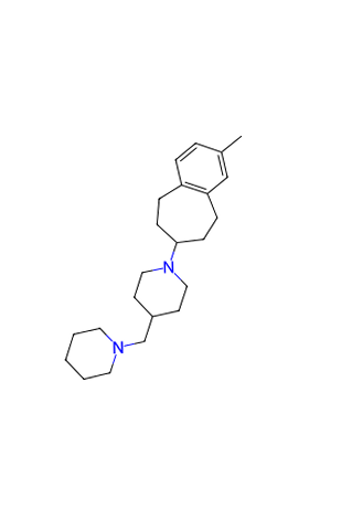 Cc1ccc2c(c1)CCC(N1CCC(CN3CCCCC3)CC1)CC2